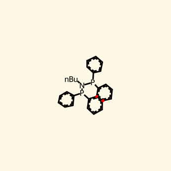 CCCCN(P(c1ccccc1)c1ccccc1)P(c1ccccc1)c1ccccc1